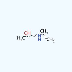 C=CCC(C)NCCCCC(C)O